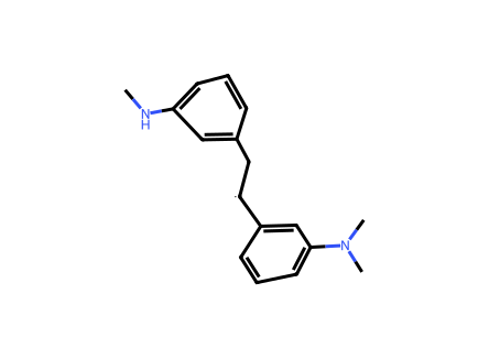 CNc1cccc(C[CH]c2cccc(N(C)C)c2)c1